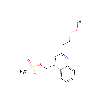 COCCCc1cc(COS(C)(=O)=O)c2ccccc2n1